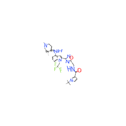 C[C@@H]1CN(C)CC[C@@H]1Nc1cccc2c1cc(-c1noc(CNC(=O)c3ccn(C(C)(C)C)c3)n1)n2CC(F)(F)F